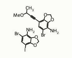 COC(C)C#Cc1cc(Br)c(N)c2c1OCO2.Nc1c(Br)cc(I)c2c1OCO2